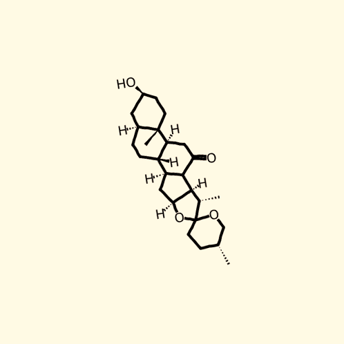 C[C@@H]1CCC2(OC1)O[C@H]1C[C@@H]3C(C(=O)C[C@H]4[C@H]3CC[C@H]3C[C@@H](O)CC[C@@]34C)[C@H]1[C@@H]2C